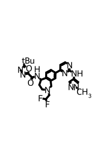 Cn1cc(Nc2nccc(-c3ccc4c(c3)CN(CC(F)F)CCC4NC(=O)c3nnc(C(C)(C)C)o3)n2)cn1